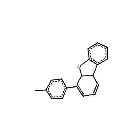 Cc1ccc(C2=CC=CC3c4ccccc4OC23)cc1